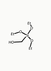 CCO[Si]([CH]O)(OCC)OCC